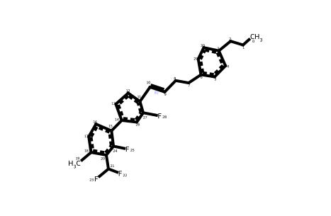 CCCc1ccc(CC/C=C/c2ccc(-c3ccc(C)c(C(F)F)c3F)cc2F)cc1